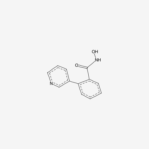 O=C(NO)c1ccccc1-c1cccnc1